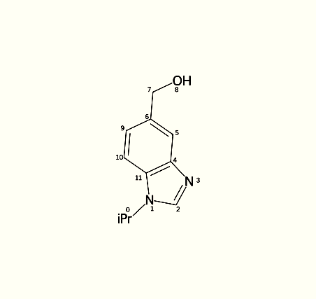 CC(C)n1cnc2cc(CO)ccc21